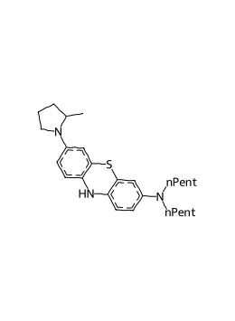 CCCCCN(CCCCC)c1ccc2c(c1)Sc1cc(N3CCCC3C)ccc1N2